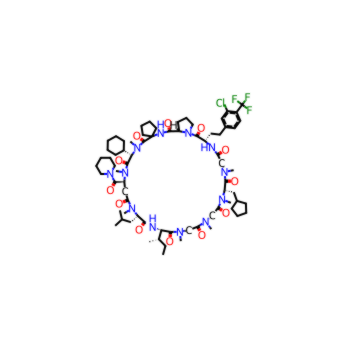 CC[C@H](C)[C@@H]1NC(=O)[C@H](CC(C)C)N(C)C(=O)C[C@@H](C(=O)N2CCCCC2)N(C)C(=O)[C@H](C2CCCCC2)N(C)C(=O)C2(CCCC2)NC(=O)[C@@H]2CCCN2C(=O)[C@H](CCc2ccc(C(F)(F)F)c(Cl)c2)NC(=O)CN(C)C(=O)[C@H](CC2CCCC2)N(C)C(=O)CN(C)C(=O)CN(C)C1=O